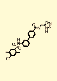 Cc1cc(S(=O)(=O)Nc2cccc(-c3ccc(C(=O)NCc4nnn[nH]4)cc3)c2)c(C)cc1Cl